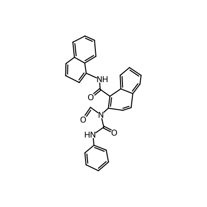 O=CN(C(=O)Nc1ccccc1)c1ccc2ccccc2c1C(=O)Nc1cccc2ccccc12